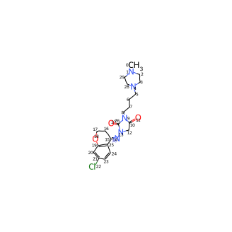 CN1CCN(CCCCN2C(=O)CN(/N=C3\CCOc4cc(Cl)ccc43)C2=O)CC1